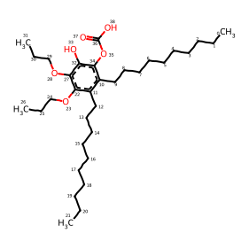 CCCCCCCCCCc1c(CCCCCCCCCC)c(OCCC)c(OCCC)c(O)c1OC(=O)O